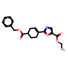 CCOC(=O)c1cnc(C2=CCC(C(=O)OCc3ccccc3)CC2)o1